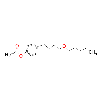 CCCCCOCCCCc1ccc(OC(C)=O)cc1